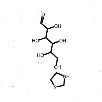 C1CSCN1.O=CC(O)C(O)C(O)C(O)CO